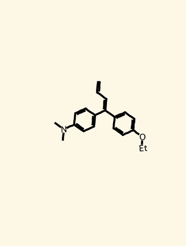 C=CC=C(c1ccc(OCC)cc1)c1ccc(N(C)C)cc1